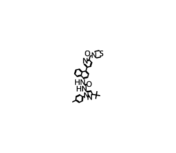 Cc1ccc(-n2nc(C(C)(C)C)cc2NC(=O)Nc2ccc(-c3ccc(C(=O)N4CCSCC4)nc3)c3ccccc23)cc1